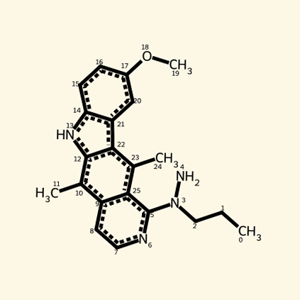 CCCN(N)c1nccc2c(C)c3[nH]c4ccc(OC)cc4c3c(C)c12